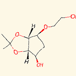 CC1(C)O[C@@H]2[C@H](O1)[C@@H](OCCO)C[C@H]2O